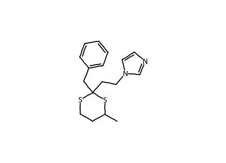 CC1CCSC(CCn2ccnc2)(Cc2ccccc2)S1